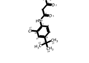 CC(=O)CC(=O)Nc1ccc(C(C)(C)C)cc1Cl